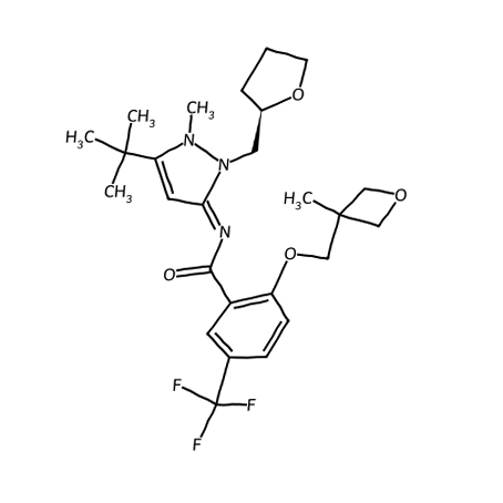 Cn1c(C(C)(C)C)c/c(=N\C(=O)c2cc(C(F)(F)F)ccc2OCC2(C)COC2)n1C[C@H]1CCCO1